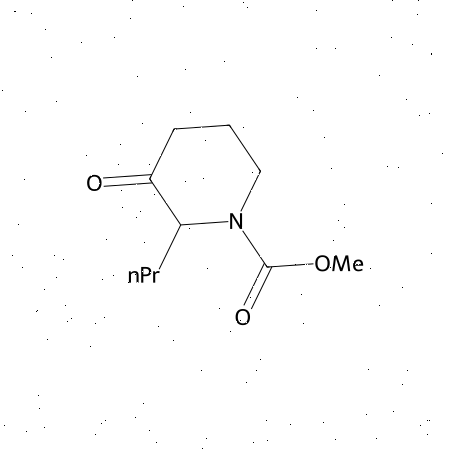 CCCC1C(=O)CCCN1C(=O)OC